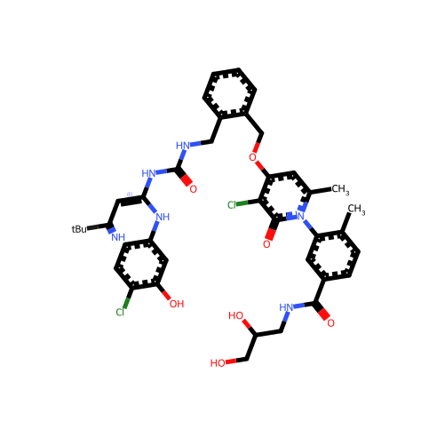 Cc1ccc(C(=O)NCC(O)CO)cc1-n1c(C)cc(OCc2ccccc2CNC(=O)N/C(=C/C(=N)C(C)(C)C)Nc2ccc(Cl)c(O)c2)c(Cl)c1=O